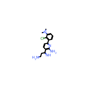 CN(C)c1cccc(-c2ccc(C(=N)CCN)c(N)n2)c1Cl